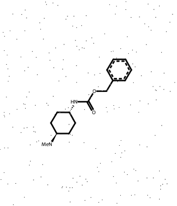 CN[C@H]1CC[C@H](NC(=O)OCc2ccccc2)CC1